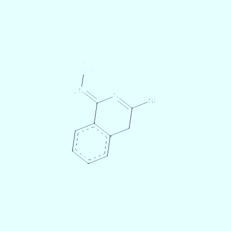 NC1=N/C(=N\O)c2ccccc2C1